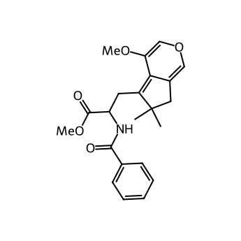 COC(=O)C(CC1=C2C(=COC=C2OC)CC1(C)C)NC(=O)c1ccccc1